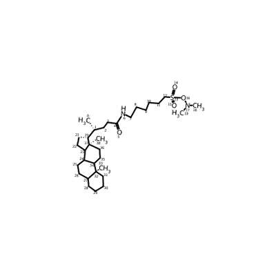 C[C@H](CCC(=O)NCCCCCCS(=O)(=O)ON(C)C)[C@H]1CCC2C3CCC4CCCC[C@]4(C)C3CC[C@@]21C